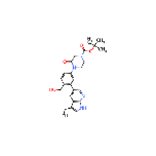 CCc1c[nH]c2ncc(-c3cc(N4CCN(C(=O)OC(C)(C)C)CC4=O)ccc3CO)cc12